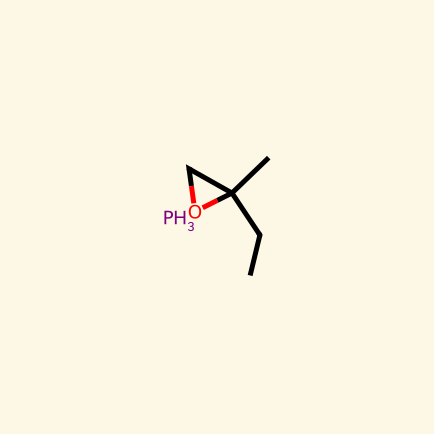 CCC1(C)CO1.P